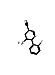 CC1CC(C#N)C=NC1c1ccccc1F